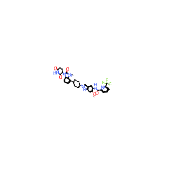 COc1cc2nn(C3CCC(c4cccc5c4n(C)c(=O)n5C4CCC(=O)NC4=O)CC3)cc2cc1NC(=O)c1cccc(C(F)(F)F)n1